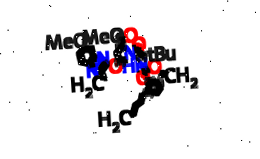 C=CCCC[C@@H]1CC[C@@H](C=C)[C@H]1OC(=O)N[C@H](C(=O)N1C[C@H](Oc2nc3cc(OC)ccc3nc2C=C)C[C@H]1C(=O)OC)C(C)(C)C